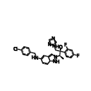 C[C@@H](N1C=C2C=C(NCc3ccc(Cl)cc3)C=CC2N1)[C@](O)(Cn1cncn1)c1ccc(F)cc1F